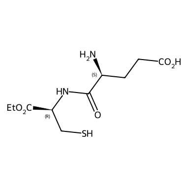 CCOC(=O)[C@H](CS)NC(=O)[C@@H](N)CCC(=O)O